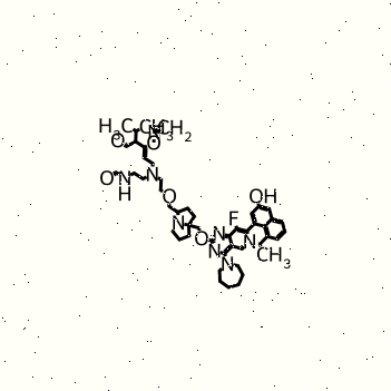 C=NO/C(=C\CN(CCNC=O)CCOCC1CCC2(COc3nc(N4CCCCCC4)c4cnc(-c5cc(O)cc6cccc(CC)c56)c(F)c4n3)CCCN12)C(C=O)C(C)C